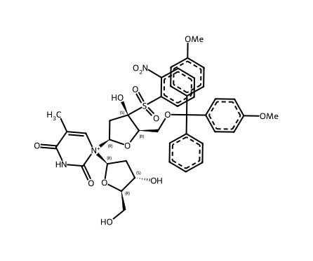 COc1ccc(C(OC[C@H]2O[C@@H]([N+]3([C@H]4C[C@H](O)[C@@H](CO)O4)C=C(C)C(=O)NC3=O)C[C@]2(O)S(=O)(=O)c2ccccc2[N+](=O)[O-])(c2ccccc2)c2ccc(OC)cc2)cc1